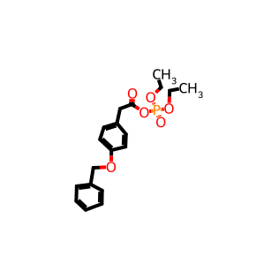 CCOP(=O)(OCC)OC(=O)Cc1ccc(OCc2ccccc2)cc1